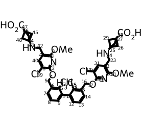 COc1nc(OCc2cccc(-c3cccc(COc4nc(OC)c(CNC56CC(C(=O)O)(C5)C6)cc4Cl)c3C)c2C)c(Cl)cc1CNC12CC(C(=O)O)(C1)C2